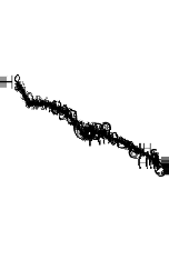 O=C(CCCCC1SCC2NC(=O)NC21)NCCOCCOCCNC(=O)COc1ccc(OCCOCCOCCOCCCCCCCCCCCS)cc1